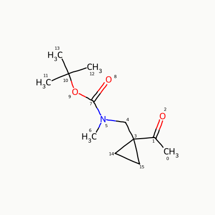 CC(=O)C1(CN(C)C(=O)OC(C)(C)C)CC1